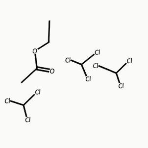 CCOC(C)=O.ClC(Cl)Cl.ClC(Cl)Cl.ClC(Cl)Cl